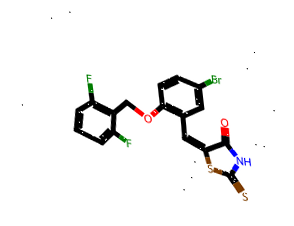 O=C1NC(=S)SC1=Cc1cc(Br)ccc1OCc1c(F)cccc1F